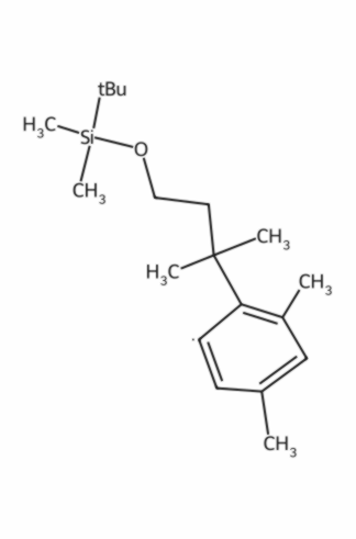 Cc1c[c]c(C(C)(C)CCO[Si](C)(C)C(C)(C)C)c(C)c1